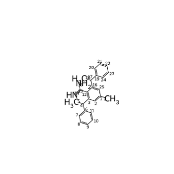 Cc1cc(C(C)c2ccccc2)c(C(=N)N)c(C(C)c2ccccc2)c1